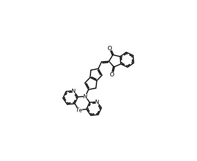 O=C1C(=CC2=CC3=C(C=C(N4c5ncccc5[Te]c5cccnc54)C3)C2)C(=O)c2ccccc21